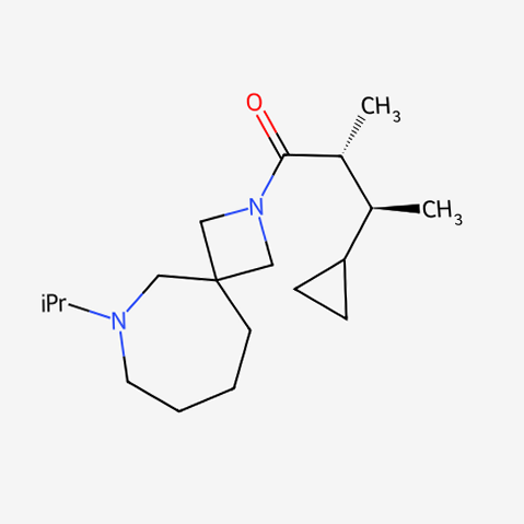 CC(C)N1CCCCC2(CN(C(=O)[C@H](C)[C@@H](C)C3CC3)C2)C1